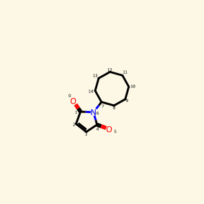 O=C1C=CC(=O)N1C1CCCCCCC1